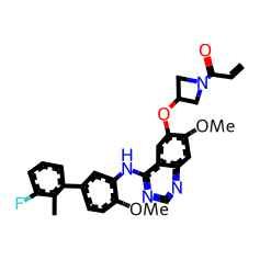 C=CC(=O)N1CC(Oc2cc3c(Nc4cc(-c5cccc(F)c5C)ccc4OC)ncnc3cc2OC)C1